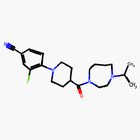 CC(C)N1CCCN(C(=O)C2CCN(c3ccc(C#N)cc3F)CC2)CC1